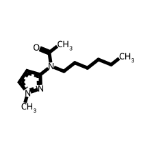 CCCCCCN(C(C)=O)c1ccn(C)n1